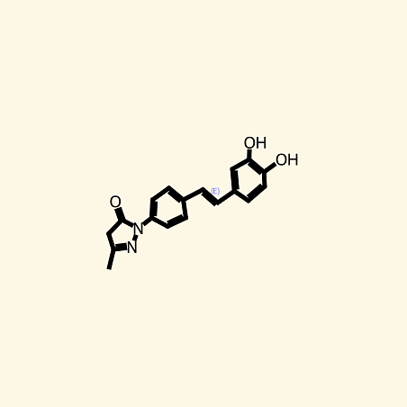 CC1=NN(c2ccc(/C=C/c3ccc(O)c(O)c3)cc2)C(=O)C1